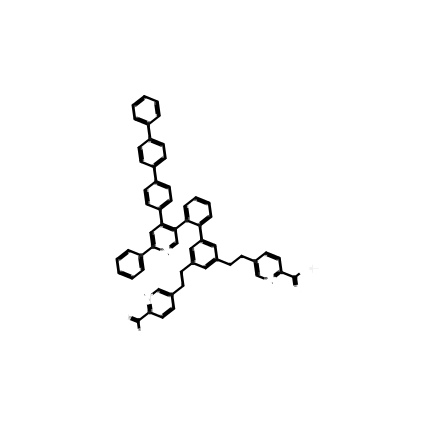 O=C(O)c1ccc(CCc2cc(CCc3ccc(C(=O)O)nc3)cc(-c3ccccc3-c3cnc(-c4ccccc4)cc3-c3ccc(-c4ccc(-c5ccccc5)cc4)cc3)c2)cn1